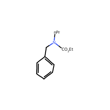 CCCN(Cc1ccccc1)C(=O)OCC